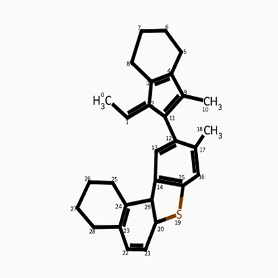 C/C=C1\C2=C(CCCC2)C(C)=C1c1cc2c(cc1C)SC1C=CC3=C(CCCC3)C21